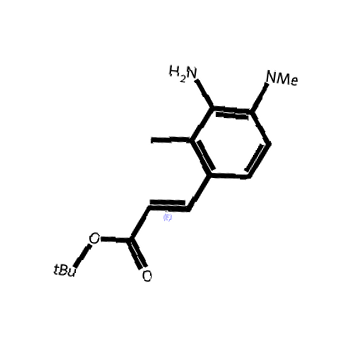 CNc1ccc(/C=C/C(=O)OC(C)(C)C)c(C)c1N